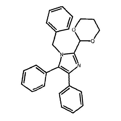 c1ccc(Cn2c(C3OCCCO3)nc(-c3ccccc3)c2-c2ccccc2)cc1